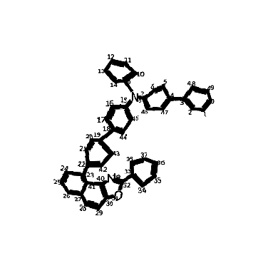 c1ccc(-c2ccc(N(c3ccccc3)c3ccc(-c4ccc(-c5cccc6ccc7oc(-c8ccccc8)nc7c56)cc4)cc3)cc2)cc1